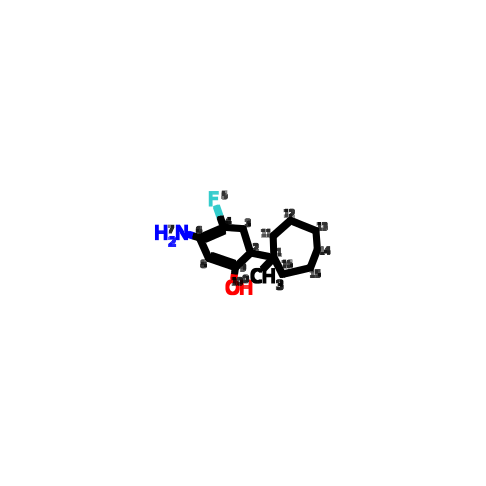 CC1(C2CC(F)=C(N)C=C2O)CCCCCC1